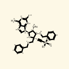 CC[Si](C#C[C@]1(COCc2ccccc2)O[C@@H](n2cnc3c(N)nc(F)nc32)[C@H](OC(C)=O)[C@@H]1OCc1ccccc1)(CC)CC